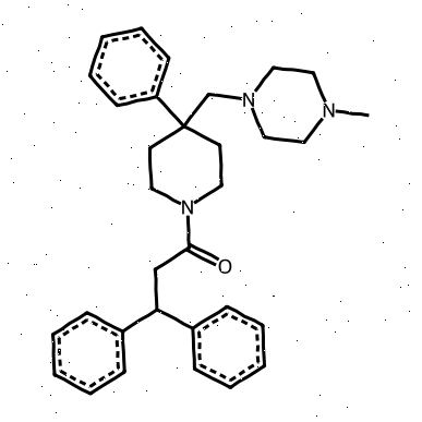 CN1CCN(CC2(c3ccccc3)CCN(C(=O)CC(c3ccccc3)c3ccccc3)CC2)CC1